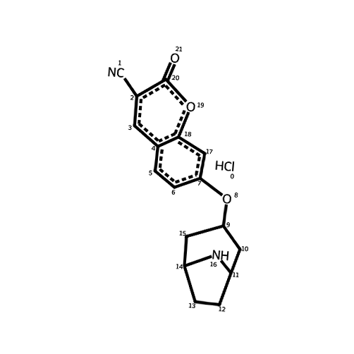 Cl.N#Cc1cc2ccc(OC3CC4CCC(C3)N4)cc2oc1=O